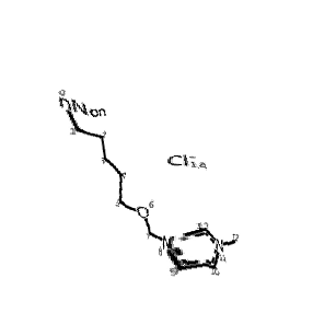 CCCCCCCCCCCCCCOC[n+]1ccn(C)c1.[Cl-]